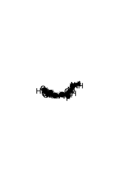 CN(C[C@H]1CC[C@H](n2cc(NC(=O)c3coc(-c4ccnc(NCC5CC5)c4)n3)c(C(F)F)n2)CC1)C1CCN(Cc2cccc3c2n(C)c(=O)n3C2CCC(=O)NC2=O)CC1